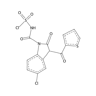 O=C(c1cccs1)C1C(=O)N(C(=O)NS(=O)(=O)Cl)c2ccc(Cl)cc21